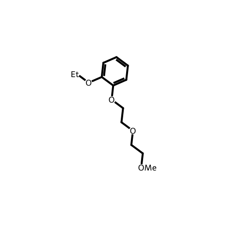 CCOc1ccccc1OCCOCCOC